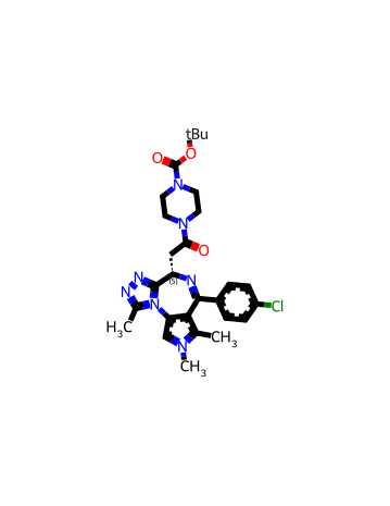 Cc1c2c(cn1C)-n1c(C)nnc1[C@H](CC(=O)N1CCN(C(=O)OC(C)(C)C)CC1)N=C2c1ccc(Cl)cc1